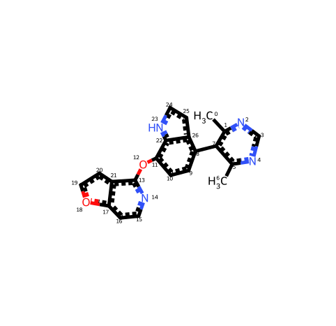 Cc1ncnc(C)c1-c1ccc(Oc2nccc3occc23)c2[nH]ccc12